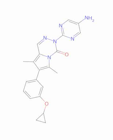 Cc1c(-c2cccc(OC3CC3)c2)c(C)n2c(=O)n(-c3ncc(N)cn3)ncc12